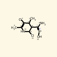 CC1=C(Cl)C(C)C(/C(N)=N\O)C(Cl)N1